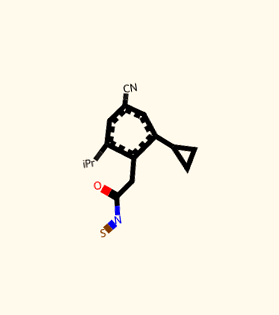 CC(C)c1cc(C#N)cc(C2CC2)c1CC(=O)N=S